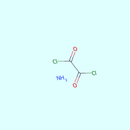 N.O=C(Cl)C(=O)Cl